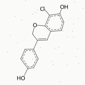 Oc1ccc(C2=Cc3ccc(O)c(Cl)c3OC2)cc1